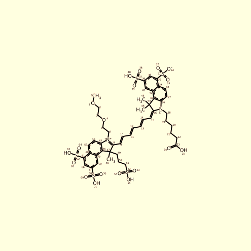 COCCOCC[N+]1=C(/C=C/C=C/C=C/C=C2/N(CCCCCC(=O)O)c3ccc4c(S(=O)(=O)[O-])cc(S(=O)(=O)O)cc4c3C2(C)C)C(C)(CCCS(=O)(=O)O)c2c1ccc1c(S(=O)(=O)O)cc(S(=O)(=O)O)cc21